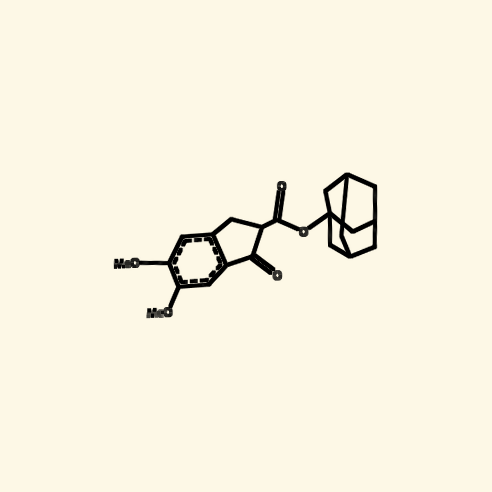 COc1cc2c(cc1OC)C(=O)C(C(=O)OC13CC4CC(CC(C4)C1)C3)C2